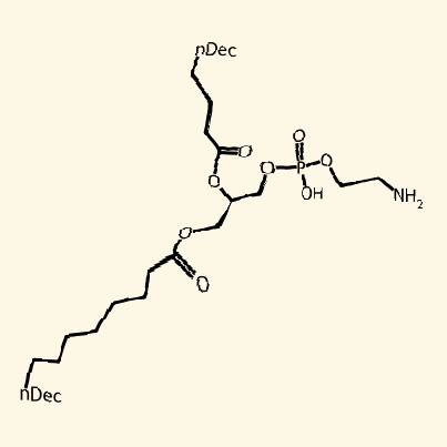 CCCCCCCCCCCCCCCCCC(=O)OC[C@H](COP(=O)(O)OCCN)OC(=O)CCCCCCCCCCCCC